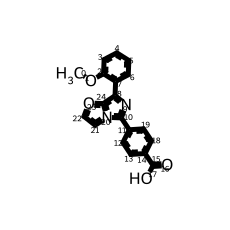 COc1ccccc1-c1nc(-c2ccc(C(=O)O)cc2)n2ccoc12